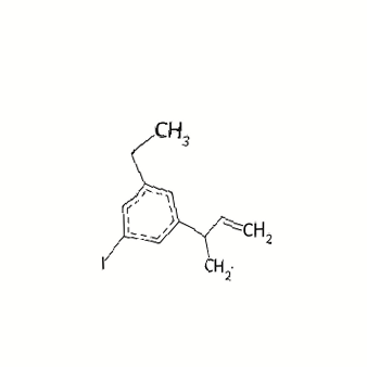 [CH2]C(C=C)c1cc(I)cc(CC)c1